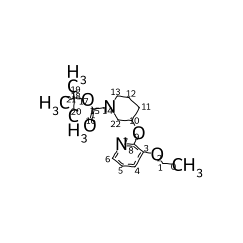 CCOc1cccnc1OC1CCCN(C(=O)OC(C)(C)C)C1